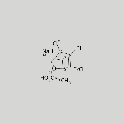 CC(=O)O.Clc1c2cc(c(Cl)c1Cl)O2.[NaH]